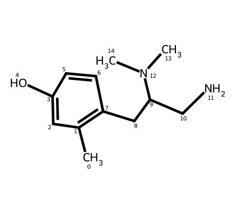 Cc1cc(O)ccc1CC(CN)N(C)C